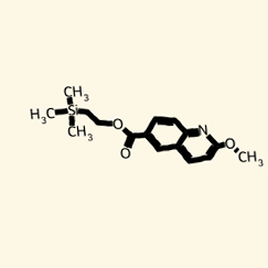 COc1ccc2cc(C(=O)OCC[Si](C)(C)C)ccc2n1